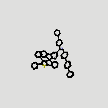 C(=C(\c1ccc(-c2ccccc2)cc1)c1ccc2c(c1)-c1ccccc1C21c2ccccc2-c2sc(-c3ccccc3)c(-c3ccccc3)c21)/c1ccc(-c2ccc(-c3ccccc3)cc2)cc1